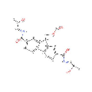 CC(O)C=NC(=O)c1ccc2c(c1)C(CO[C]=O)c1cc(C(=O)N=CC(C)O)ccc1-2